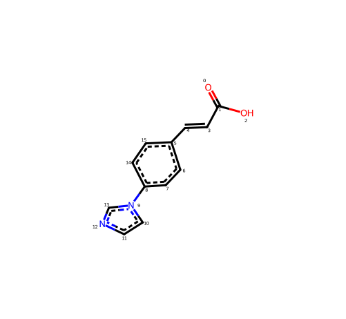 O=C(O)C=Cc1ccc(-n2ccnc2)cc1